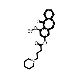 CCOc1cc(OC(=O)CCCN2CCCCC2)cc2ccc3ccccc3c(=O)c12